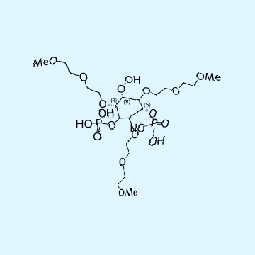 COCCOCCOC1C(OP(=O)(O)O)[C@H](OCCOCCOC)[C@H](OO)C(OCCOCCOC)[C@@H]1OP(=O)(O)O